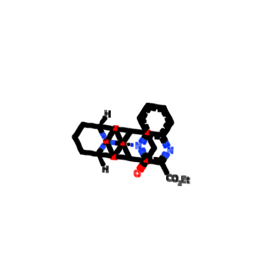 CCOC(=O)c1nc2ccccc2n([C@H]2C[C@H]3CCC[C@@H](C2)N3C2C3CCCC2CCC3)c1=O